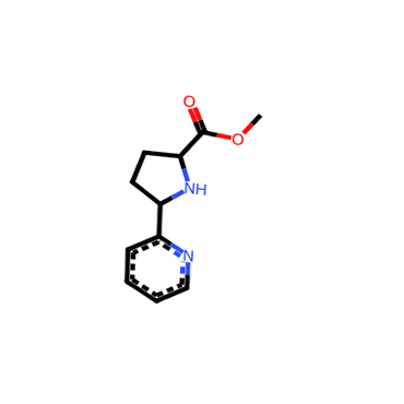 COC(=O)C1CCC(c2ccccn2)N1